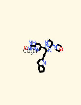 CCOC(=O)ONC(=N)c1ccc(-c2c(C#Cc3ccc4ccccc4n3)nc3c(N4CCOCC4)ccnn23)cn1